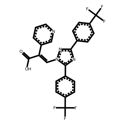 O=C(O)/C(=C/n1nc(-c2ccc(C(F)(F)F)cc2)nc1-c1ccc(C(F)(F)F)cc1)c1cccnc1